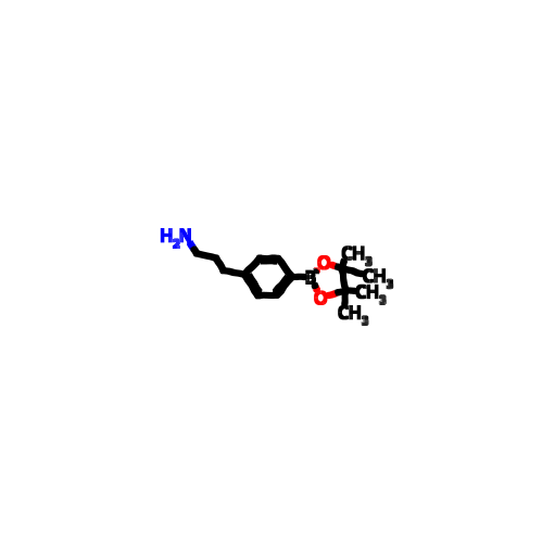 CC1(C)OB(c2ccc(CCCN)cc2)OC1(C)C